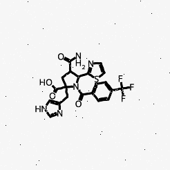 NC(=O)C1CC(Cc2c[nH]cn2)(C(=O)O)N(C(=O)c2ccc(C(F)(F)F)cc2)C1c1nccs1